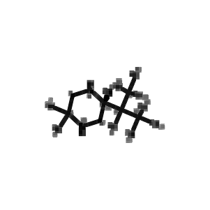 [2H]C1([2H])CN[C@]([2H])(C([2H])(C([2H])([2H])[2H])C([2H])([2H])[2H])CN1